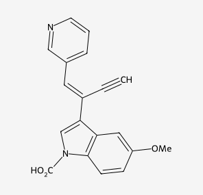 C#C/C(=C\c1cccnc1)c1cn(C(=O)O)c2ccc(OC)cc12